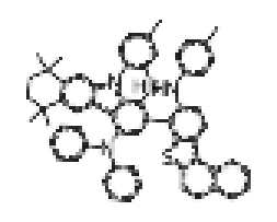 Cc1ccc(Nc2ccc3c(sc4ccc5ccccc5c43)c2-c2cc(N(c3ccccc3)c3ccccc3)c3c4cc5c(cc4n4c3c2Bc2cc(C)ccc2-4)C(C)(C)CCC5(C)C)cc1